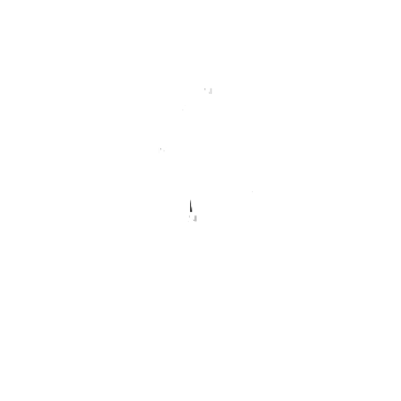 C=CCON[C@H]1CN[C@H](C(N)=O)C=C1C